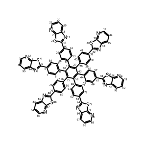 c1cnc2sc(-c3ccc(-c4c(-c5ccc(-c6nc7cccnc7s6)cc5)c(-c5ccc(-c6nc7cccnc7s6)cc5)c(-c5ccc(-c6nc7cccnc7s6)cc5)c(-c5ccc(-c6nc7cccnc7s6)cc5)c4-c4ccc(-c5nc6cccnc6s5)cc4)cc3)nc2c1